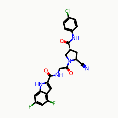 N#CC1C[C@H](C(=O)Nc2ccc(Cl)cc2)CN1C(=O)CNC(=O)c1cc2c(F)cc(F)cc2[nH]1